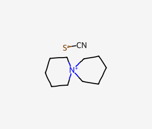 C1CC[N+]2(CC1)CCCCC2.N#C[S-]